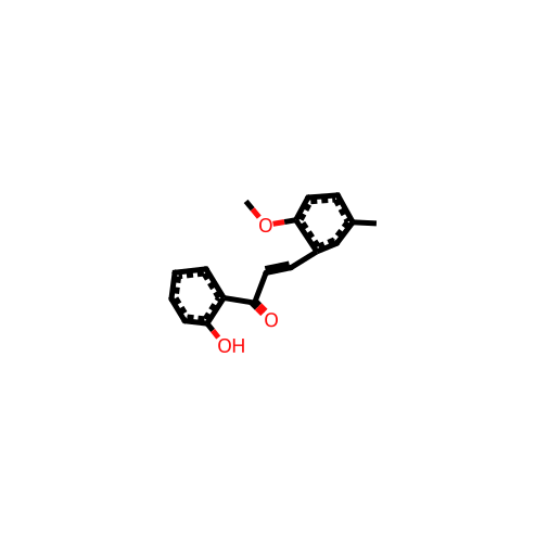 COc1ccc(C)cc1C=CC(=O)c1ccccc1O